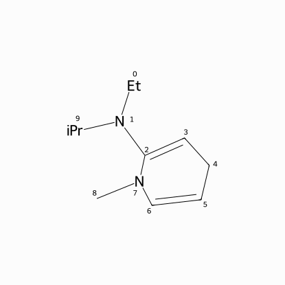 CCN(C1=CCC=CN1C)C(C)C